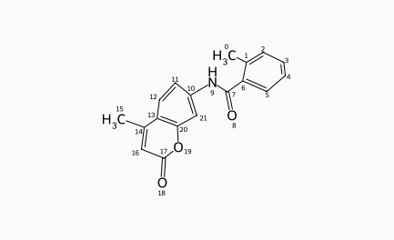 Cc1ccccc1C(=O)Nc1ccc2c(C)cc(=O)oc2c1